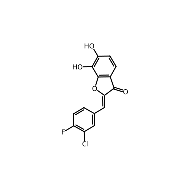 O=C1C(=Cc2ccc(F)c(Cl)c2)Oc2c1ccc(O)c2O